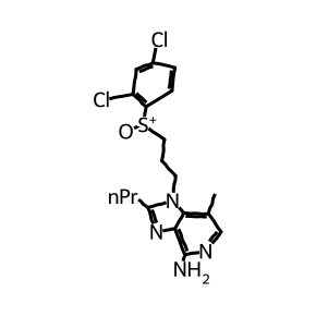 CCCc1nc2c(N)ncc(C)c2n1CCC[S+]([O-])c1ccc(Cl)cc1Cl